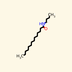 CCC[CH]NC(=O)CCCCCCCCCCCCC